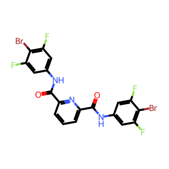 O=C(Nc1cc(F)c(Br)c(F)c1)c1cccc(C(=O)Nc2cc(F)c(Br)c(F)c2)n1